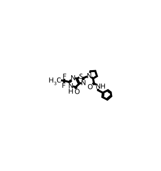 CC(F)(F)c1nc2sc(N3CCCC3C(=O)NCc3ccccc3)nc2c(=O)[nH]1